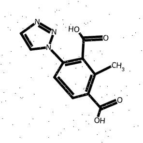 Cc1c(C(=O)O)ccc(-n2ccnn2)c1C(=O)O